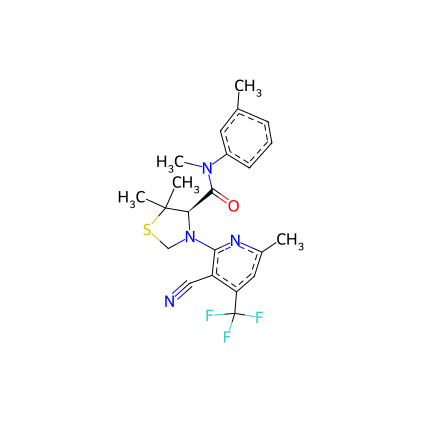 Cc1cccc(N(C)C(=O)[C@H]2N(c3nc(C)cc(C(F)(F)F)c3C#N)CSC2(C)C)c1